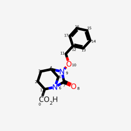 O=C(O)C1CCC2CN1C(=O)N2OCc1ccccc1